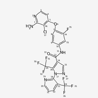 Nc1nccc(Oc2ccc(NC(=O)c3cnn(-c4ncccc4C(F)(F)F)c3C(F)(F)F)cc2F)c1Cl